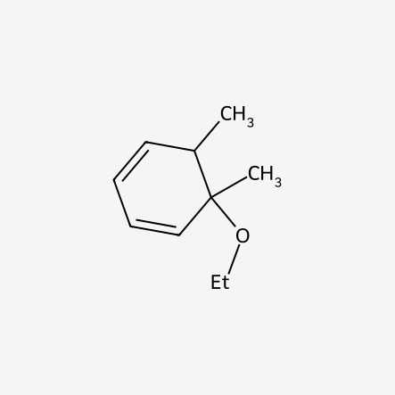 CCOC1(C)C=CC=CC1C